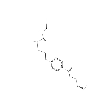 C=C(CC/C=C\C)c1ccc(CCC[C@@H](C)C(=O)OCC)cc1